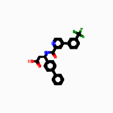 O=C(O)CC(NC(=O)c1cc(-c2cccc(C(F)(F)F)c2)ccn1)c1ccc(-c2ccccc2)cc1